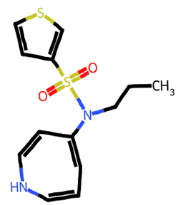 CCCN(C1=CC=CNC=C1)S(=O)(=O)c1ccsc1